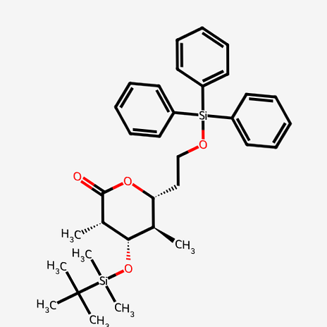 C[C@H]1[C@H](O[Si](C)(C)C(C)(C)C)[C@H](C)C(=O)O[C@@H]1CCO[Si](c1ccccc1)(c1ccccc1)c1ccccc1